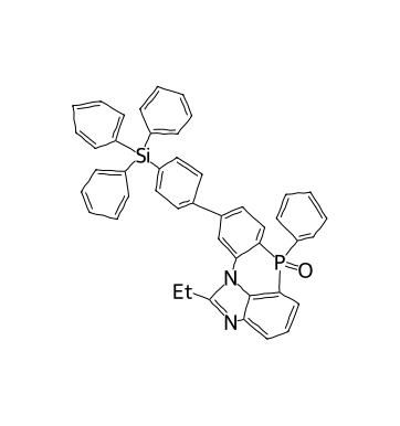 CCc1nc2cccc3c2n1-c1cc(-c2ccc([Si](c4ccccc4)(c4ccccc4)c4ccccc4)cc2)ccc1P3(=O)c1ccccc1